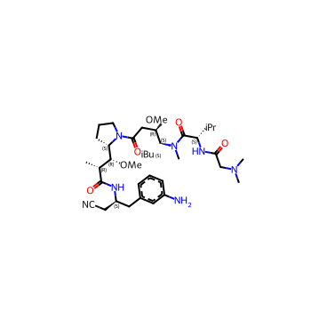 CC[C@H](C)[C@@H]([C@@H](CC(=O)N1CCC[C@H]1[C@H](OC)[C@@H](C)C(=O)N[C@H](CC#N)Cc1cccc(N)c1)OC)N(C)C(=O)[C@@H](NC(=O)CN(C)C)C(C)C